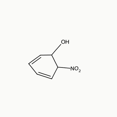 O=[N+]([O-])C1C=CC=CC1O